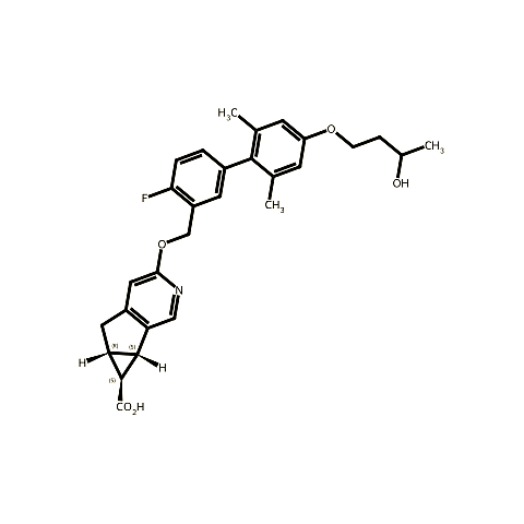 Cc1cc(OCCC(C)O)cc(C)c1-c1ccc(F)c(COc2cc3c(cn2)[C@H]2[C@@H](C3)[C@@H]2C(=O)O)c1